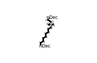 CCCCCCCCCCCCCCCCCC[N+](C)(C)CCCCCCCCCCCC